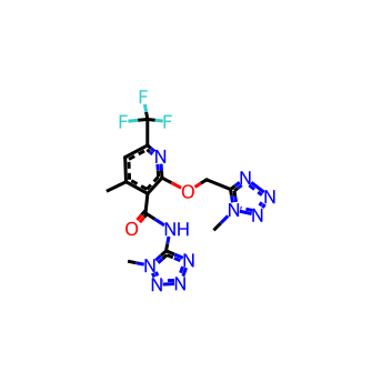 Cc1cc(C(F)(F)F)nc(OCc2nnnn2C)c1C(=O)Nc1nnnn1C